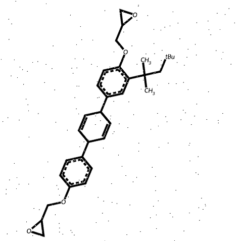 CC(C)(C)CC(C)(C)c1cc(C2C=CC(c3ccc(OCC4CO4)cc3)C=C2)ccc1OCC1CO1